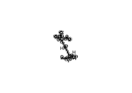 CC[C@H]1O[C@@H](n2cc(C)c(=O)[nH]c2=O)[C@@H](OCCCCCCNC(=O)CCCCO[C@@H]2C[C@H](COC(=O)c3ccccc3)[C@H](OC(=O)c3ccccc3)[C@H](OC(=O)c3ccccc3)[C@H]2C)C1OC(=O)CCC(C)=O